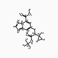 COC(=O)c1cc(CN(C(=O)OC(C)(C)C)C2(C)CC2)cc2ncnn12